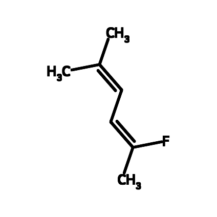 CC(C)=CC=C(C)F